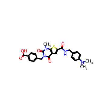 CN(C)c1ccc(CNC(=O)c2cc3c(=O)n(Cc4ccc(C(=O)O)cc4)c(=O)n(C)c3s2)cc1